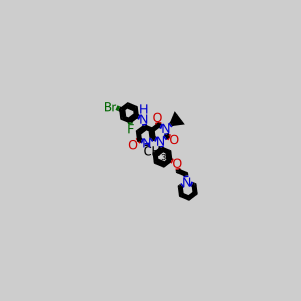 Cn1c(=O)cc(Nc2ccc(Br)cc2F)c2c(=O)n(C3CC3)c(=O)n(-c3cccc(OCCN4CCCCC4)c3)c21